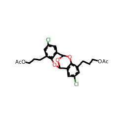 CC(=O)OCCCc1cc(Cl)cc2c1OC1OC2Oc2c(CCCOC(C)=O)cc(Cl)cc21